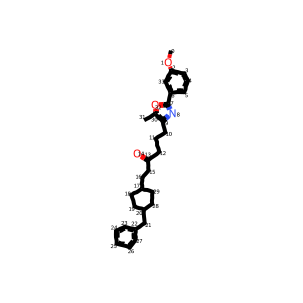 COc1cccc(-c2nc(CCCC(=O)CCC3CCC(Cc4ccccc4)CC3)c(C)o2)c1